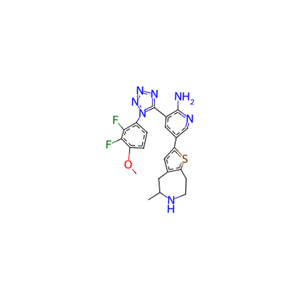 COc1ccc(-n2nnnc2-c2cc(-c3cc4c(s3)CCNC(C)C4)cnc2N)c(F)c1F